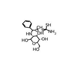 COC(N[C@H]1C(O)O[C@H](CO)[C@@H](O)[C@@H]1O)c1ccccc1.NC(=S)S